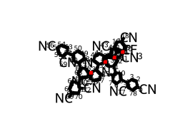 N#Cc1ccc(-c2ccc3c(c2)c2cc(-c4ccc(C#N)cc4C#N)ccc2n3-c2ccc(C#N)cc2-c2cc(-c3ccc(C(F)(F)F)cc3C#N)ccc2-n2c3ccc(-c4ccc(C#N)cc4C#N)cc3c3cc(-c4ccc(C#N)cc4C#N)ccc32)c(C#N)c1